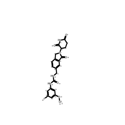 O=C1CCC(N2Cc3ccc(CNC(=O)Nc4cc(F)cc(OC(F)(F)F)c4)cc3C2=O)C(=O)N1